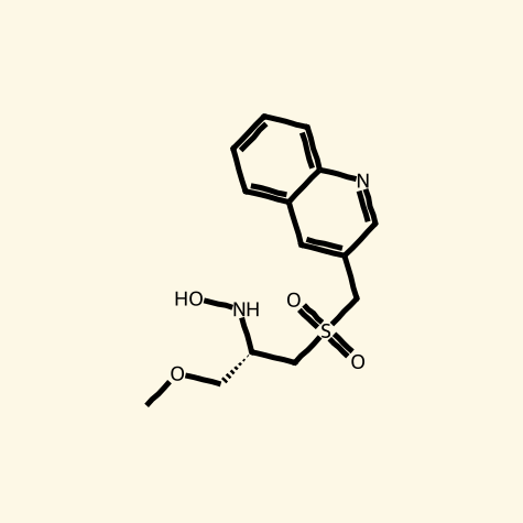 COC[C@@H](CS(=O)(=O)Cc1cnc2ccccc2c1)NO